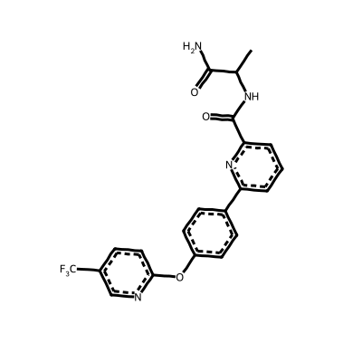 CC(NC(=O)c1cccc(-c2ccc(Oc3ccc(C(F)(F)F)cn3)cc2)n1)C(N)=O